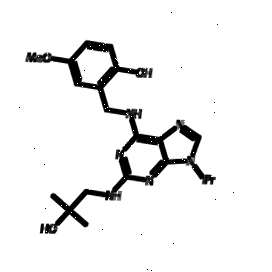 COc1ccc(O)c(CNc2nc(NCC(C)(C)O)nc3c2ncn3C(C)C)c1